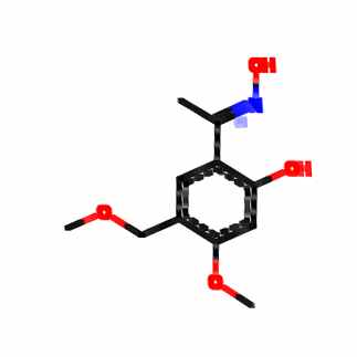 COCc1cc(/C(C)=N/O)c(O)cc1OC